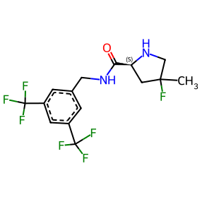 CC1(F)CN[C@H](C(=O)NCc2cc(C(F)(F)F)cc(C(F)(F)F)c2)C1